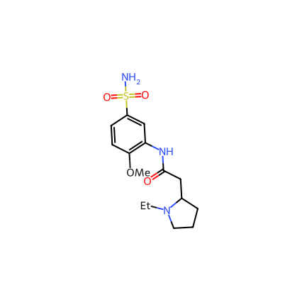 CCN1CCCC1CC(=O)Nc1cc(S(N)(=O)=O)ccc1OC